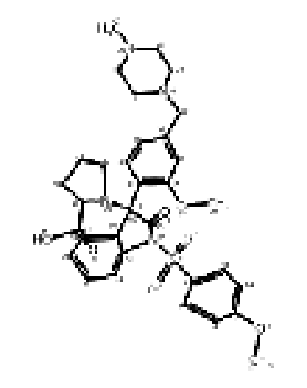 COc1ccc(S(=O)(=O)N2C(=O)[C@](c3ccc(CN4CCN(C)CC4)cc3OC)(N3CCCC3C(=O)O)c3ccccc32)cc1